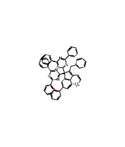 C/C=C\C1=C(Cc2ccccc2)C(c2nc(-c3ccccc3)nc(-c3ccccc3)n2)(c2nc(-c3ccccc3)nc(-c3ccccc3)n2)c2cc(-c3ccccc3)ccc21